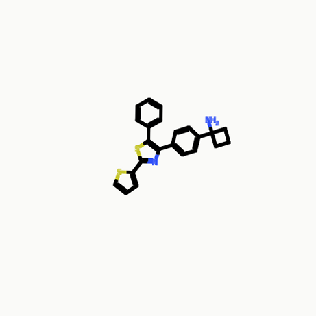 NC1(c2ccc(-c3nc(-c4cccs4)sc3-c3ccccc3)cc2)CCC1